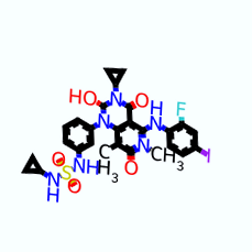 Cc1c2c(c(Nc3ccc(I)cc3F)n(C)c1=O)C(=O)N(C1CC1)C(O)N2c1cccc(NS(=O)(=O)NC2CC2)c1